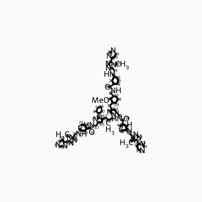 COc1c(CNC(=O)c2cccc(NCc3nnc(-c4ccncn4)n3C)c2)cccc1Cc1cc(CNC(=O)c2cccc(NCc3nnc(-c4ccncn4)n3C)c2)n(CC(C)Cc2cc(CNC(=O)c3cccc(NCc4nnc(-c5ccncn5)n4C)c3)nn2C2CCCC2)n1